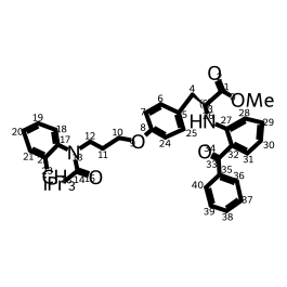 COC(=O)[C@H](Cc1ccc(OCCCN(C(=O)C(C)C)c2ccccc2C)cc1)Nc1ccccc1C(=O)c1ccccc1